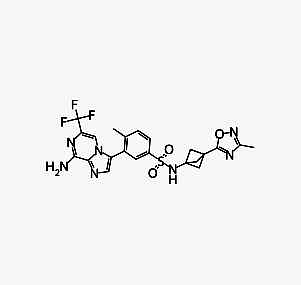 Cc1noc(C23CC(NS(=O)(=O)c4ccc(C)c(-c5cnc6c(N)nc(C(F)(F)F)cn56)c4)(C2)C3)n1